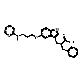 O=C(O)C(Cc1ccccc1)Cc1c[nH]c2ccc(OCCCNc3ccccn3)cc12